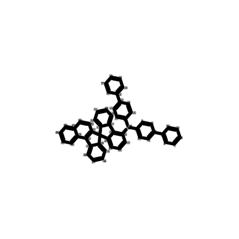 c1ccc(-c2ccc(N(c3ccc(-c4ccccc4)cc3)c3cccc4c3-c3ccccc3C43c4ccccc4-c4c3ccc3ccccc43)cc2)cc1